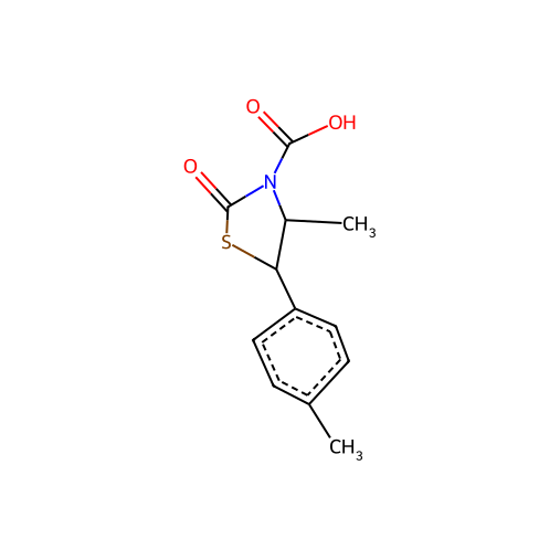 Cc1ccc(C2SC(=O)N(C(=O)O)C2C)cc1